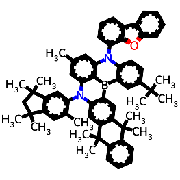 Cc1cc2c3c(c1)N(c1cccc4c1oc1ccccc14)c1ccc(C(C)(C)C)cc1B3c1cc3c(cc1N2c1cc2c(cc1C)C(C)(C)CC2(C)C)C(C)(C)c1ccccc1C3(C)C